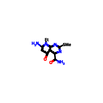 CCn1c(N)cc(=O)c2c(C(N)=O)nc(SC)nc21